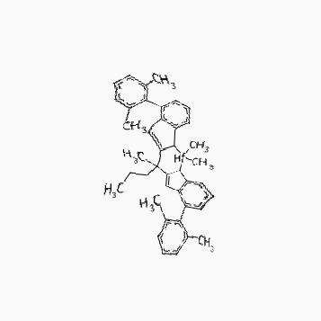 CCCC1(C)C2=Cc3c(-c4c(C)cccc4C)cccc3[CH]2[Hf]([CH3])([CH3])[CH]2C1=Cc1c(-c3c(C)cccc3C)cccc12